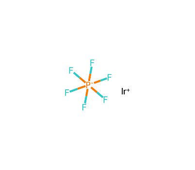 F[P-](F)(F)(F)(F)F.[Ir+]